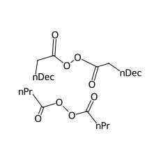 CCCC(=O)OOC(=O)CCC.CCCCCCCCCCCC(=O)OOC(=O)CCCCCCCCCCC